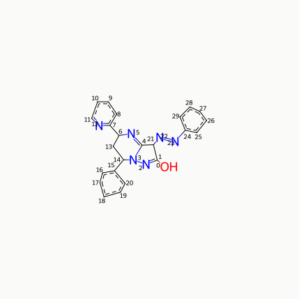 OC1=NN2C(=NC(c3ccccn3)CC2c2ccccc2)C1/N=N/c1ccccc1